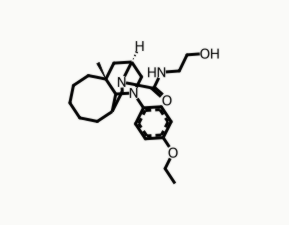 CCOc1ccc(N2C[C@@H]3C[C@@]4(C)CCCCCC(CN3C(=O)NCCO)C24)cc1